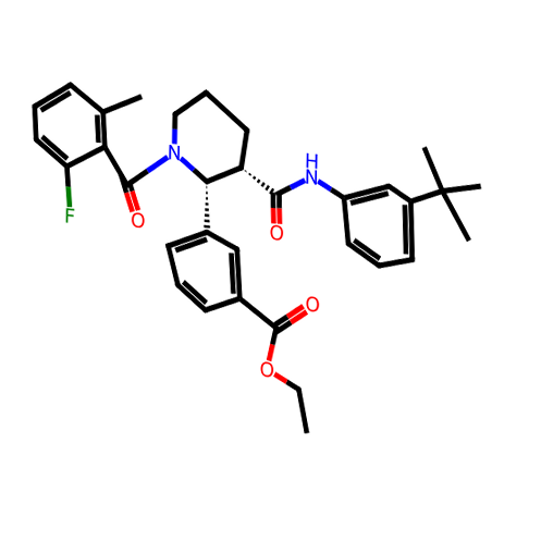 CCOC(=O)c1cccc([C@H]2[C@@H](C(=O)Nc3cccc(C(C)(C)C)c3)CCCN2C(=O)c2c(C)cccc2F)c1